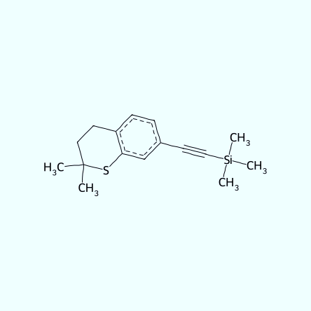 CC1(C)CCc2ccc(C#C[Si](C)(C)C)cc2S1